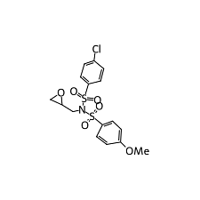 COc1ccc(S(=O)(=O)N(CC2CO2)S(=O)(=O)c2ccc(Cl)cc2)cc1